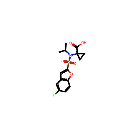 CC(C)N(C1(C(=O)O)CC1)S(=O)(=O)c1cc2cc(F)ccc2o1